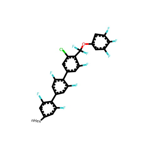 CCCCCCc1cc(F)c(-c2cc(F)c(-c3cc(F)c(C(F)(F)Oc4cc(F)c(F)c(F)c4)c(Cl)c3)c(F)c2)c(F)c1